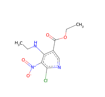 CCNc1c(C(=O)OCC)cnc(Cl)c1[N+](=O)[O-]